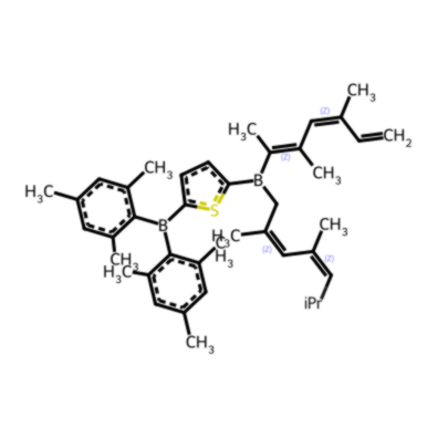 C=C/C(C)=C\C(C)=C(/C)B(C/C(C)=C\C(C)=C/C(C)C)c1ccc(B(c2c(C)cc(C)cc2C)c2c(C)cc(C)cc2C)s1